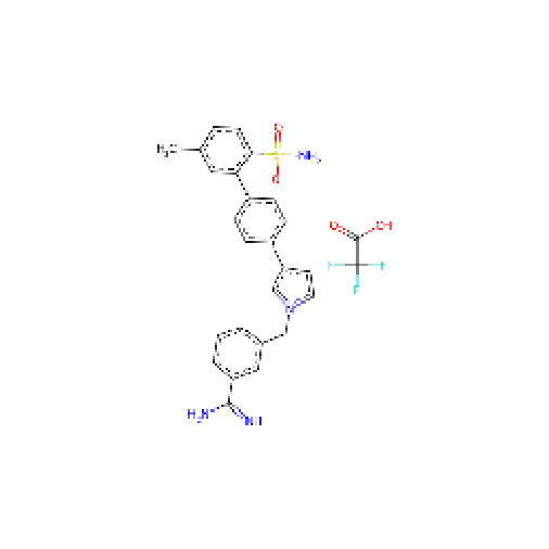 Cc1ccc(S(N)(=O)=O)c(-c2ccc(-c3ccn(Cc4cccc(C(=N)N)c4)c3)cc2)c1.O=C(O)C(F)(F)F